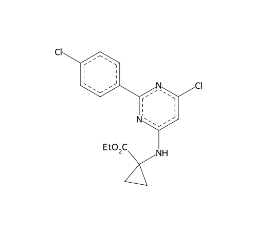 CCOC(=O)C1(Nc2cc(Cl)nc(-c3ccc(Cl)cc3)n2)CC1